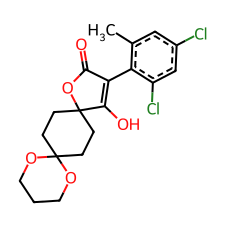 Cc1cc(Cl)cc(Cl)c1C1=C(O)C2(CCC3(CC2)OCCCO3)OC1=O